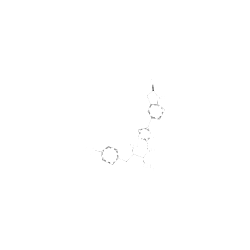 C[C@H](Nc1ncc(-c2ccc3c(c2)CC(=O)N3)s1)[C@H](N)Cc1ccc(C(F)(F)F)cc1